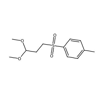 COC(CCS(=O)(=O)c1ccc(C)cc1)OC